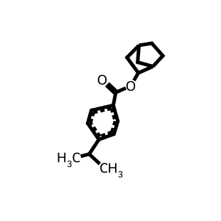 CC(C)c1ccc(C(=O)OC2CC3CCC2C3)cc1